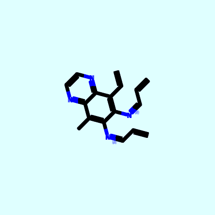 C=C/C=N\c1c(/N=C\C=C)c(C=C)c2nccnc2c1C